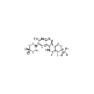 Cc1c([C@@H](C)Nc2ncnc3nc(Cl)c(N4CCS(=O)(=O)CC4)cc23)cccc1C(C)(F)F